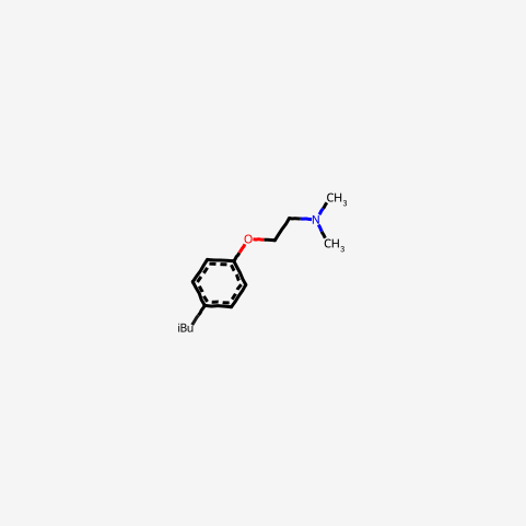 CCC(C)c1ccc(OCCN(C)C)cc1